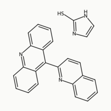 Sc1ncc[nH]1.c1ccc2nc(-c3c4ccccc4nc4ccccc34)ccc2c1